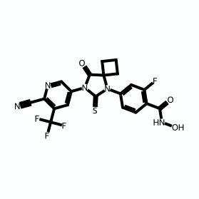 N#Cc1ncc(N2C(=O)C3(CCC3)N(c3ccc(C(=O)NO)c(F)c3)C2=S)cc1C(F)(F)F